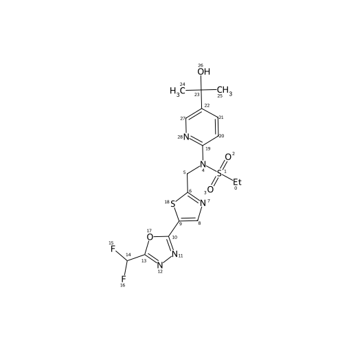 CCS(=O)(=O)N(Cc1ncc(-c2nnc(C(F)F)o2)s1)c1ccc(C(C)(C)O)cn1